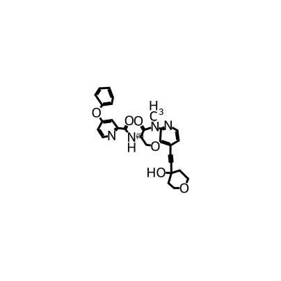 CN1C(=O)[C@@H](NC(=O)c2cc(Oc3ccccc3)ccn2)COc2c(C#CC3(O)CCOCC3)ccnc21